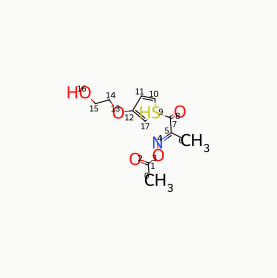 CC(=O)ON=C(C)C(=O)[SH]1C=CC(OCCO)=C1